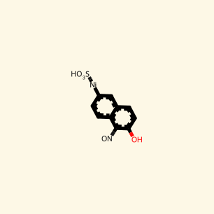 O=Nc1c(O)ccc2c[c]([Ni][S](=O)(=O)O)ccc12